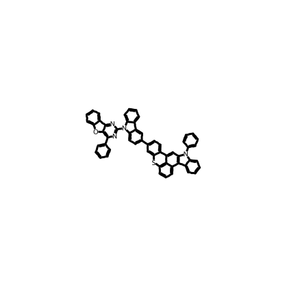 c1ccc(-c2nc(-n3c4ccccc4c4cc(-c5ccc6c(c5)Sc5cccc7c5c-6cc5c7c6ccccc6n5-c5ccccc5)ccc43)nc3c2oc2ccccc23)cc1